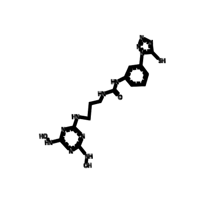 O=C(NCCCNc1nc(NO)nc(NO)n1)Nc1cccc(-n2nnnc2S)c1